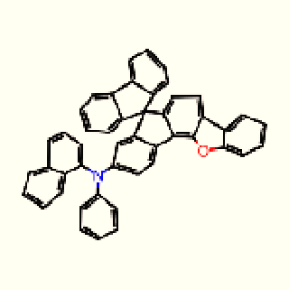 c1ccc(N(c2ccc3c(c2)C2(c4ccccc4-c4ccccc42)c2ccc4c(oc5ccccc54)c2-3)c2cccc3ccccc23)cc1